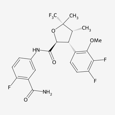 COc1c([C@@H]2[C@@H](C(=O)Nc3ccc(F)c(C(N)=O)c3)O[C@](C)(C(F)(F)F)[C@@H]2C)ccc(F)c1F